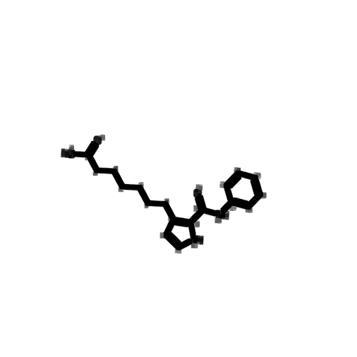 O=C(O)CCCCCCc1cc[nH]c1C(=O)Nc1ccccc1